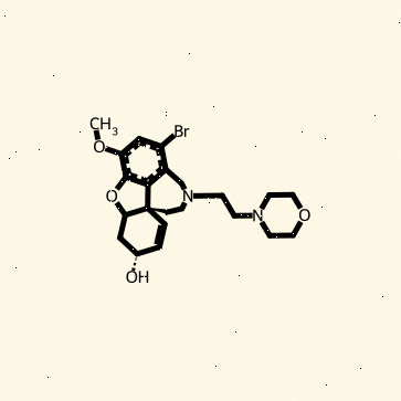 COc1cc(Br)c2c3c1OC1C[C@@H](O)C=C[C@@]31CCN(CCN1CCOCC1)C2